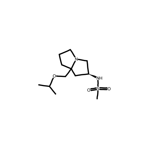 CC(C)OCC12CCCN1C[C@@H](NS(C)(=O)=O)C2